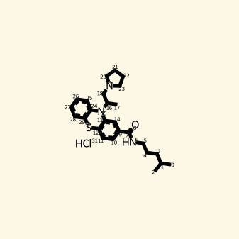 CC(C)CCCNC(=O)c1ccc2c(c1)N(C(C)CN1CCCC1)c1ccccc1S2.Cl